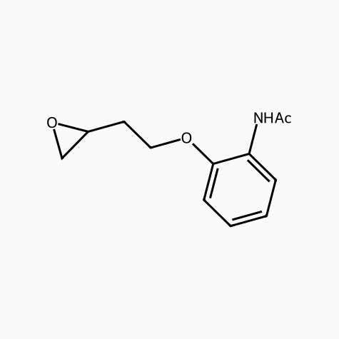 CC(=O)Nc1ccccc1OCCC1CO1